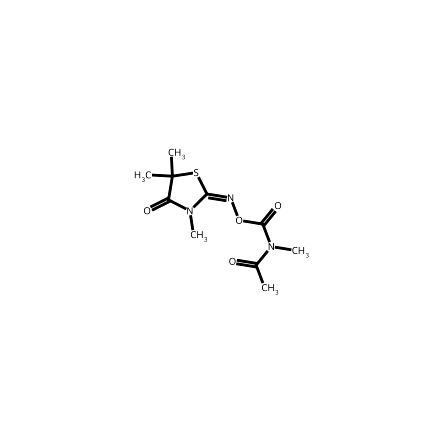 CC(=O)N(C)C(=O)ON=C1SC(C)(C)C(=O)N1C